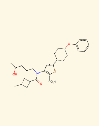 CC(O)CCCN(C(=O)C1CC(C)C1)c1cc(C2CCC(Oc3ccccc3)CC2)sc1C(=O)O